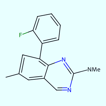 CNc1ncc2cc(C)cc(-c3ccccc3F)c2n1